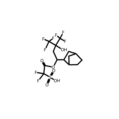 O=C(OC(CC(O)(C(F)(F)F)C(F)(F)F)C1CC2CCC1C2)C(F)(F)S(=O)(=O)O